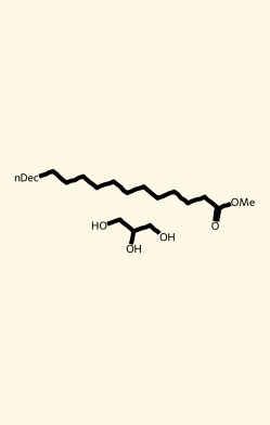 CCCCCCCCCCCCCCCCCCCCCC(=O)OC.OCC(O)CO